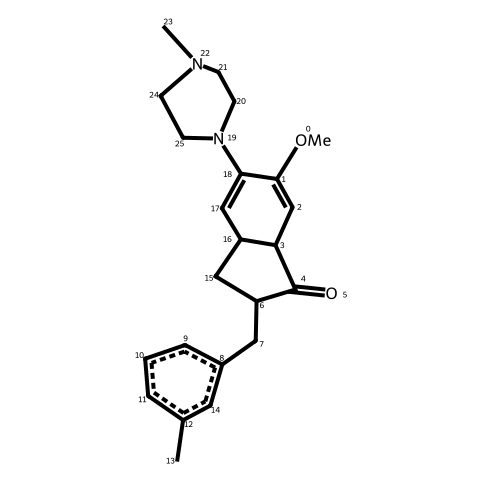 COC1=CC2C(=O)C(Cc3cccc(C)c3)CC2C=C1N1CCN(C)CC1